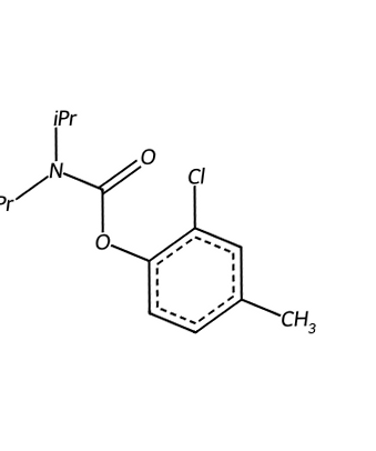 Cc1ccc(OC(=O)N(C(C)C)C(C)C)c(Cl)c1